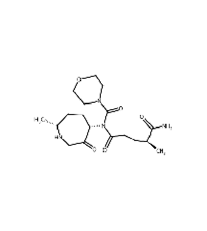 C[C@@H]1CC[C@H](N(C(=O)[CH]C[C@H](C)C(N)=O)C(=O)N2CCOCC2)C(=O)CN1